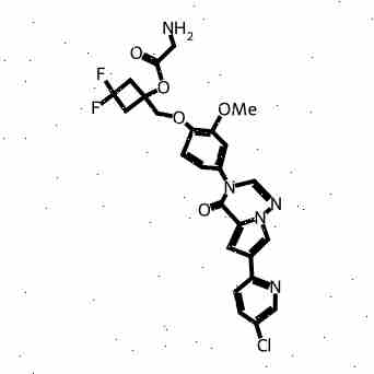 COc1cc(-n2cnn3cc(-c4ccc(Cl)cn4)cc3c2=O)ccc1OCC1(OC(=O)CN)CC(F)(F)C1